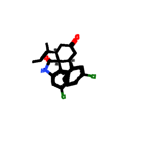 CC=C(C)[C@H]1CC(=O)C[C@@H](c2cccc(Cl)c2)[C@]12C(=O)Nc1cc(Cl)ccc12